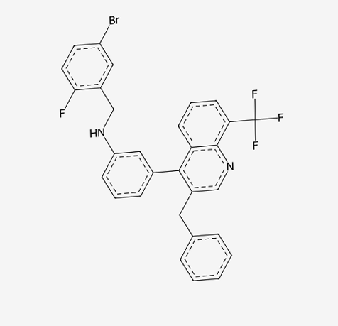 Fc1ccc(Br)cc1CNc1cccc(-c2c(Cc3ccccc3)cnc3c(C(F)(F)F)cccc23)c1